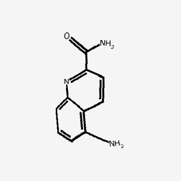 NC(=O)c1ccc2c(N)cccc2n1